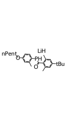 CCCCCOc1ccc(PC(=O)c2c(C)cc(C(C)(C)C)cc2C)c(C)c1.[LiH]